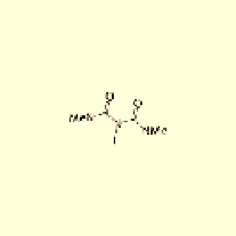 CNC(=O)N(I)C(=O)NC